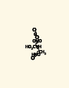 C[C@@H](CCN[C@H](CCN1C(=O)c2ccc(OCc3ccccc3)cc2C1=O)C(=O)O)CC(=O)NCc1ccccc1